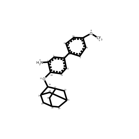 Nc1cc(-c2ccc(OC(F)(F)F)cc2)ccc1OC1C2CC3CC(C2)CC1C3